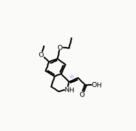 CCOc1cc2c(cc1OC)CCN/C2=C\C(=O)O